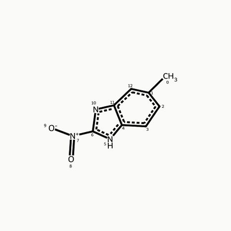 Cc1ccc2[nH]c([N+](=O)[O-])nc2c1